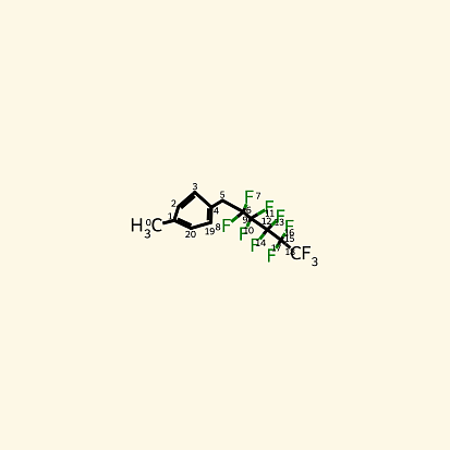 Cc1ccc(CC(F)(F)C(F)(F)C(F)(F)C(F)(F)C(F)(F)F)cc1